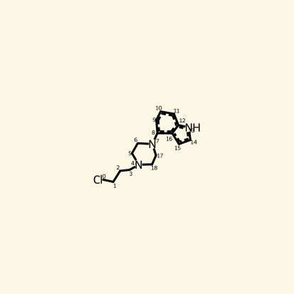 ClCCCN1CCN(c2cccc3[nH]ccc23)CC1